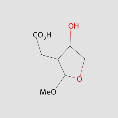 COC1OCC(O)C1CC(=O)O